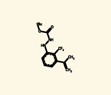 C=C(C)c1cccc(NNC(=O)OC(C)(C)C)c1C(F)(F)F